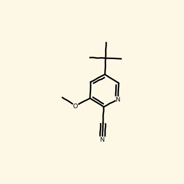 COc1cc(C(C)(C)C)cnc1C#N